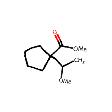 COC(=O)C1(C(C)OC)CCCC1